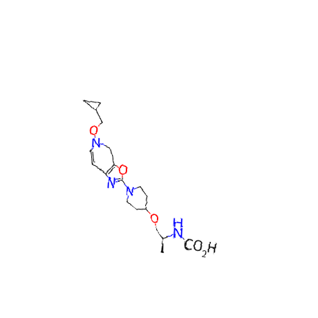 C[C@@H](COC1CCN(c2nc3c(o2)CN(OCC2CC2)C=C3)CC1)NC(=O)O